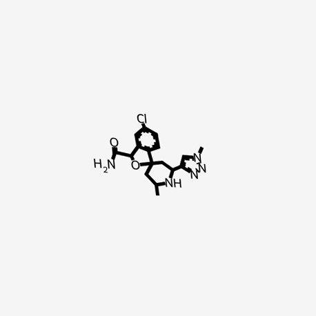 CC1CC2(CC(c3cn(C)nn3)N1)OC(C(N)=O)c1cc(Cl)ccc12